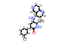 CC(C)c1[nH]c(=O)c(-c2cccc(Cl)c2)cc1Nc1ccnc2ccncc12